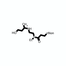 CCCCCCCCCCCC(=O)N(CC)CCNC(C)CCO